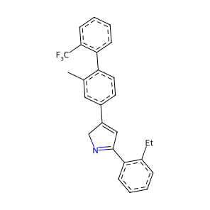 CCc1ccccc1C1=NCC(c2ccc(-c3ccccc3C(F)(F)F)c(C)c2)=C1